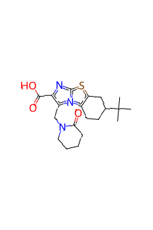 CC(C)(C)C1CCc2c(sc3nc(C(=O)O)c(CN4CCCCC4=O)n23)C1